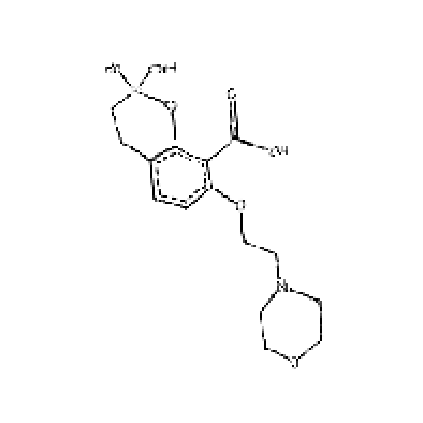 O=C(O)c1c(OCCN2CCOCC2)ccc2c1O[B-](O)(O)CC2